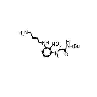 CN(CC(=O)NC(C)(C)C)c1cccc(NC/C=C/CN)c1[N+](=O)[O-]